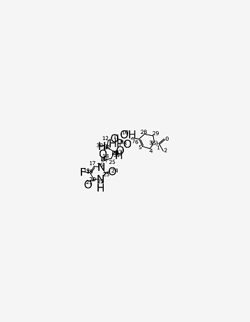 C=C(C)[C@@H]1CC=C(CO[PH]2(O)OC[C@H]3O[C@@H](n4cc(F)c(=O)[nH]c4=O)C[C@@H]3O2)CC1